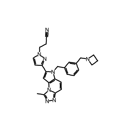 Cc1nnc2ccc3c(cc(-c4ccn(CCC#N)n4)n3Cc3cccc(CN4CCC4)c3)n12